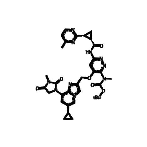 Cc1ccnc([C@H]2C[C@@H]2C(=O)Nc2cc(OCc3cn4cc(C5CC5)cc(N5CC(=O)N(C)C5=O)c4n3)c(N(C)C(=O)OC(C)(C)C)nn2)n1